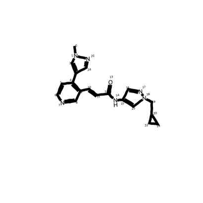 Cn1cc(-c2ccncc2C=CC(=O)Nc2cnn(CC3CC3)c2)cn1